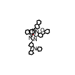 c1ccc(C2N=C(c3ccc4c5ccccc5n(-c5ccccc5)c4c3)N=C(c3ccc4c(oc5ccccc54)c3-n3c4ccccc4c4cc5ccccc5cc43)N2)cc1